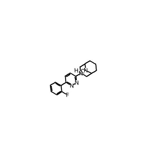 CN1C2CCCC1CN(c1ccc(-c3ccccc3F)nn1)C2